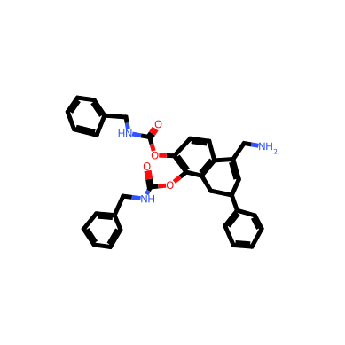 NCC1=CC(c2ccccc2)Cc2c1ccc(OC(=O)NCc1ccccc1)c2OC(=O)NCc1ccccc1